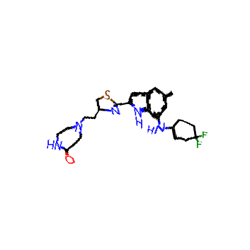 Cc1cc(NC2CCC(F)(F)CC2)c2[nH]c(C3=N[C@@H](CCN4CCNC(=O)C4)CS3)cc2c1